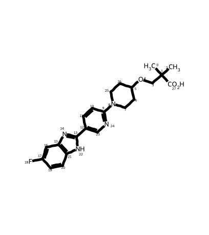 CC(C)(COC1CCN(c2ccc(-c3nc4cc(F)ccc4[nH]3)cn2)CC1)C(=O)O